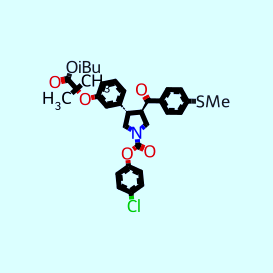 CSc1ccc(C(=O)[C@H]2CN(C(=O)Oc3ccc(Cl)cc3)C[C@@H]2c2cccc(OC(C)(C)C(=O)OCC(C)C)c2)cc1